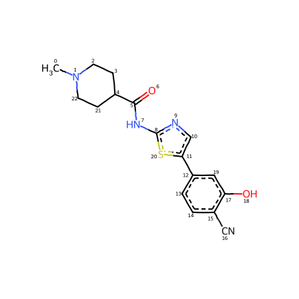 CN1CCC(C(=O)Nc2ncc(-c3ccc(C#N)c(O)c3)s2)CC1